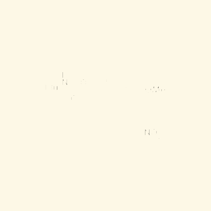 COc1cc(C)c([N+](=O)[O-])cc1-c1ccc([C@@H](C)COC(=O)NC(C)(C)C)cc1